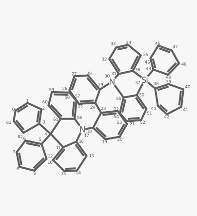 c1ccc(C2(c3ccccc3)c3ccccc3N(c3ccccc3-c3ccccc3N3c4ccccc4[Si](c4ccccc4)(c4ccccc4)c4ccccc43)c3ccccc32)cc1